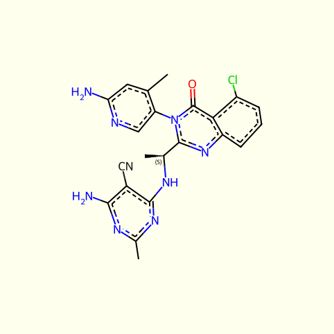 Cc1nc(N)c(C#N)c(N[C@@H](C)c2nc3cccc(Cl)c3c(=O)n2-c2cnc(N)cc2C)n1